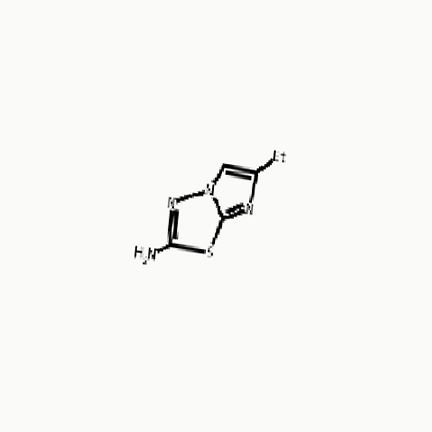 CCc1cn2nc(N)sc2n1